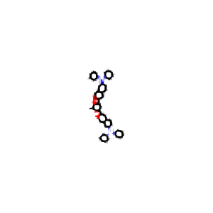 Cc1c2oc3cc4cc(N(c5ccccc5)c5ccccc5)ccc4cc3c2cc2c1oc1cc3cc(N(c4ccccc4)c4ccccc4)ccc3cc12